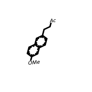 [CH2]C(=O)CCc1ccc2cc(OC)ccc2c1